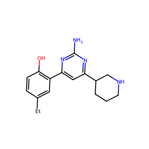 CCc1ccc(O)c(-c2cc(C3CCCNC3)nc(N)n2)c1